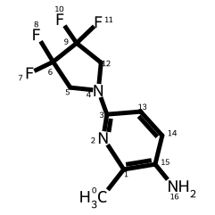 Cc1nc(N2CC(F)(F)C(F)(F)C2)ccc1N